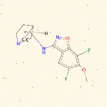 COc1c(F)cc2c(N[C@H]3CN4CCC3CC4)noc2c1F